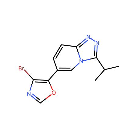 CC(C)c1nnc2ccc(-c3ocnc3Br)cn12